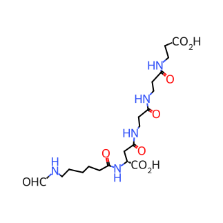 O=CNCCCCCC(=O)N[C@@H](CC(=O)NCCC(=O)NCCC(=O)NCCC(=O)O)C(=O)O